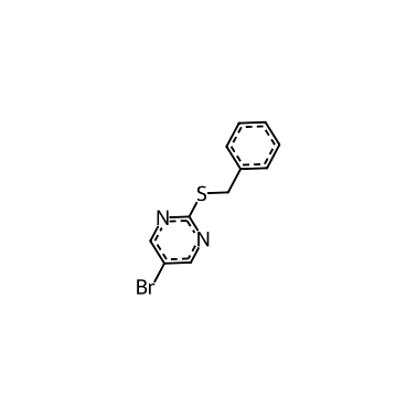 Brc1cnc(SCc2ccccc2)nc1